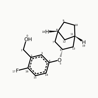 OCc1cc(O[C@@H]2C[C@@H]3CC[C@@H](C3)C2)ccc1F